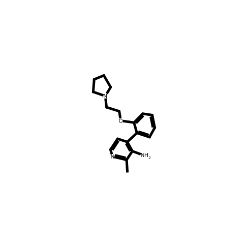 Cc1nccc(-c2ccccc2OCCN2CCCC2)c1N